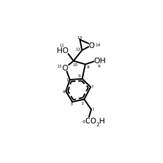 O=C(O)Cc1ccc2c(c1)C(O)C(O)(C1CO1)O2